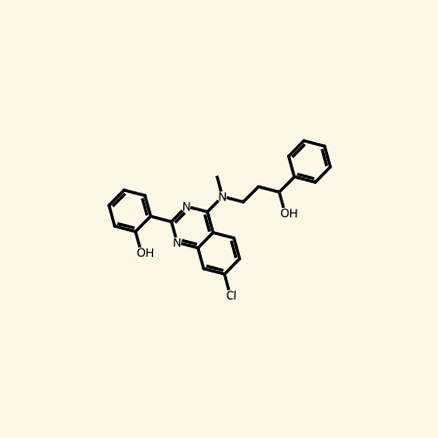 CN(CCC(O)c1ccccc1)c1nc(-c2ccccc2O)nc2cc(Cl)ccc12